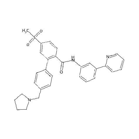 CS(=O)(=O)c1ccc(C(=O)Nc2cccc(-c3ccccn3)c2)c(-c2ccc(CN3CCCC3)cc2)c1